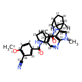 COc1ccc(C(=O)Nc2cnc3c(c([C@H]4C5CC[C@@H]4CN(C(=O)C4CCCC4)C5)cn3C)c2C)cc1C#N